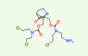 NCCN(CCCl)C(=O)OCC1(COC(=O)N(CCCl)CCCl)C(=O)C2CCN1CC2